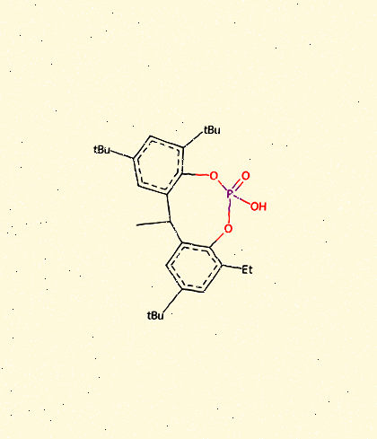 CCc1cc(C(C)(C)C)cc2c1OP(=O)(O)Oc1c(cc(C(C)(C)C)cc1C(C)(C)C)C2C